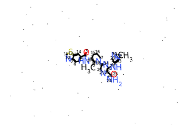 C[C@@H]1[C@H](NC(=O)c2ccc3ncsc3c2)CCCN1c1cnc(C(N)=O)c(Nc2cnn(C)c2)n1